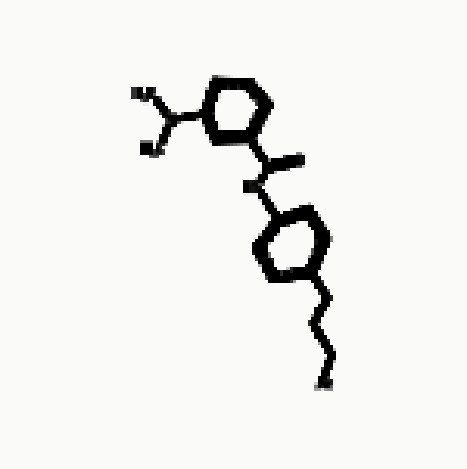 CC(=O)CCCc1ccc(NC(=O)c2cccc(N(C)C)c2)cc1